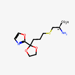 N[C@@H](CSCCCC1(c2ncco2)OCCO1)C(=O)O